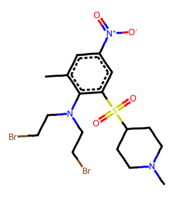 Cc1cc([N+](=O)[O-])cc(S(=O)(=O)C2CCN(C)CC2)c1N(CCBr)CCBr